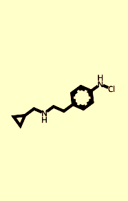 ClNc1ccc(CCNCC2CC2)cc1